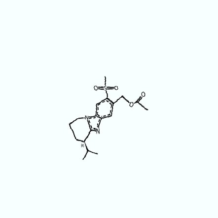 CC(=O)OCc1cc2nc3n(c2cc1S(C)(=O)=O)CCC[C@@H]3C(C)C